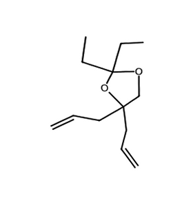 C=CCC1(CC=C)COC(CC)(CC)O1